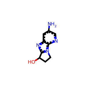 Nc1cnc2c(c1)nc1n2CCC1O